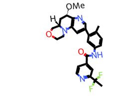 CO[C@H]1C[C@H]2COCCN2c2cc(-c3cc(NC(=O)c4ccnc(C(C)(F)F)c4)ccc3C)cnc21